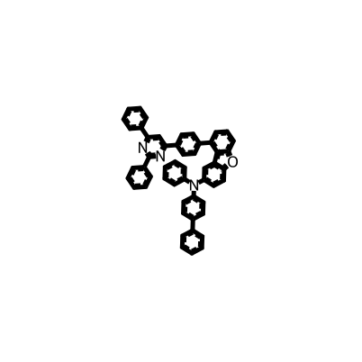 c1ccc(-c2ccc(N(c3ccccc3)c3ccc4oc5cccc(-c6ccc(-c7cc(-c8ccccc8)nc(-c8ccccc8)n7)cc6)c5c4c3)cc2)cc1